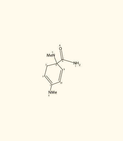 CNC1=CCC(NC)(C(N)=O)C=C1